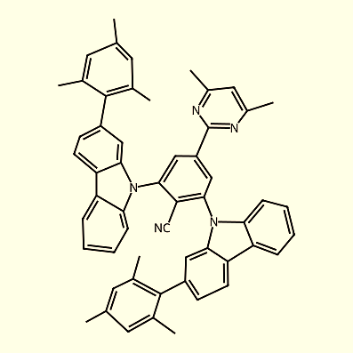 Cc1cc(C)c(-c2ccc3c4ccccc4n(-c4cc(-c5nc(C)cc(C)n5)cc(-n5c6ccccc6c6ccc(-c7c(C)cc(C)cc7C)cc65)c4C#N)c3c2)c(C)c1